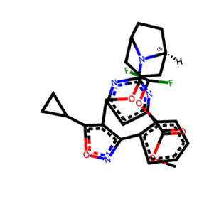 COC(=O)c1ccnc(N2C3CC[C@H]2CC(OCc2c(-c4ccccc4OC(F)F)noc2C2CC2)C3)n1